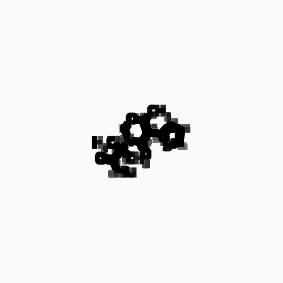 CCCCC(=O)C(C)(C)N1COC(C)=C(c2cccs2)C1=O